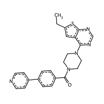 CCc1cc2c(N3CCN(C(=O)c4ccc(-c5ccncc5)cc4)CC3)ncnc2s1